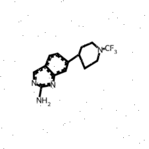 Nc1ncc2ccc(C3CCN(C(F)(F)F)CC3)cc2n1